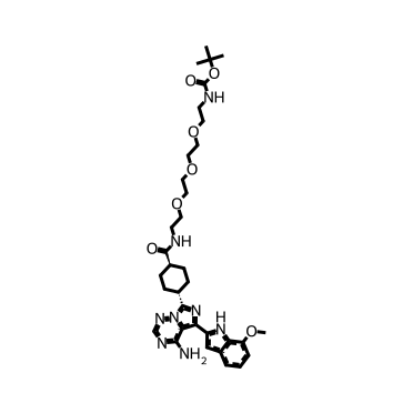 COc1cccc2cc(-c3nc([C@H]4CC[C@H](C(=O)NCCOCCOCCOCCNC(=O)OC(C)(C)C)CC4)n4ncnc(N)c34)[nH]c12